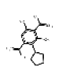 C=C(C)c1cc(CCC)c(C(=C)C)c(C)c1C1CCCC1